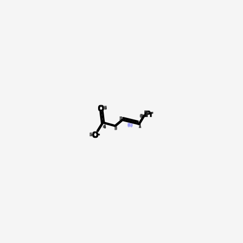 CC(C)/C=C/CC([O])=O